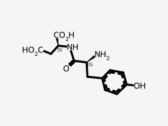 N[C@@H](Cc1ccc(O)cc1)C(=O)N[C@@H](CC(=O)O)C(=O)O